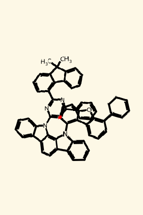 CC1(C)c2ccccc2-c2c(-c3nc(-c4ccccc4)nc(-n4c5ccccc5c5ccc6c7ccccc7n(-c7cccc8oc9c(C%10=CC=CCC%10)cccc9c78)c6c54)n3)cccc21